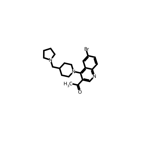 CC(=O)c1cnc2ccc(Br)cc2c1N1CCC(CN2CCCC2)CC1